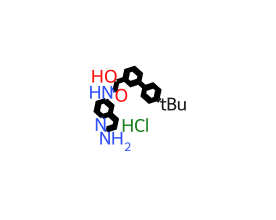 CC(C)(C)c1ccc(-c2cccc(C(O)C(=O)Nc3ccc4nc(N)ccc4c3)c2)cc1.Cl